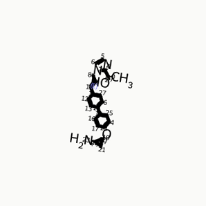 C[C@H](O)c1nccn1C/C=C/c1ccc(-c2ccc(O[C@@H]3C[C@H]3N)cc2)cc1